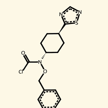 O=C(Cl)N(OCc1ccccc1)[C@H]1CC[C@H](c2ncns2)CC1